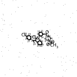 CS(=O)(=O)N1CCN(C(=O)c2cccc(N3C(=O)[C@@]4(C[C@@H]4c4ccc(Cl)cc4)c4ccccc43)c2)CC1